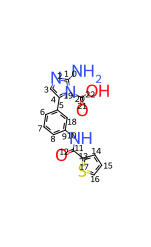 Nc1ncc(-c2cccc(NC(=O)c3cccs3)c2)n1C(=O)O